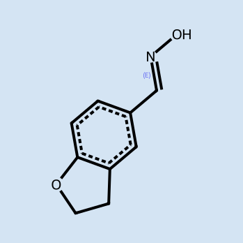 O/N=C/c1ccc2c(c1)CCO2